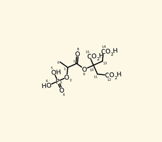 CC(OP(=O)(O)O)C(=O)OC(CC(=O)O)(CC(=O)O)C(=O)O